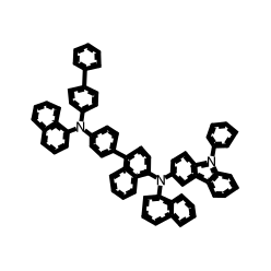 c1ccc(-c2ccc(N(c3ccc(-c4ccc(N(c5ccc6c(c5)c5ccccc5n6-c5ccccc5)c5cccc6ccccc56)c5ccccc45)cc3)c3cccc4ccccc34)cc2)cc1